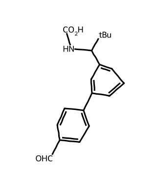 CC(C)(C)C(NC(=O)O)c1cccc(-c2ccc(C=O)cc2)c1